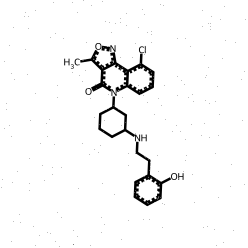 Cc1onc2c1c(=O)n(C1CCCC(NCCc3ccccc3O)C1)c1cccc(Cl)c21